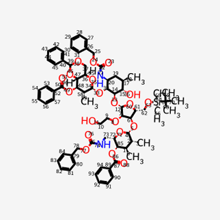 C[C@@H]1[C@@H](C)[C@@H](O[C@H]2[C@@H](OCCO)[C@H](O[C@@H]3[C@@H](O)[C@H](C)C[C@H](NC(=O)OCc4ccccc4)[C@H]3O[C@H]3O[C@@H]4COC(c5ccccc5)O[C@H]4[C@H](OC(=O)c4ccccc4)[C@H]3C)O[C@@H]2CO[Si](C)(C)C(C)(C)C)O[C@@H](CNC(=O)OCc2ccccc2)[C@H]1OC(=O)c1ccccc1